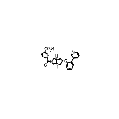 O=C(O)c1ccn(C(=O)N2C[C@H]3C[C@H](Oc4ccccc4-c4cccnc4)C[C@H]3C2)n1